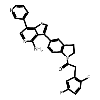 Nc1ncc(-c2cccnc2)c2scc(-c3ccc4c(c3)CCN4C(=O)Cc3cc(F)ccc3F)c12